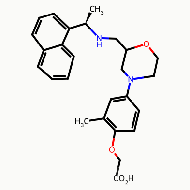 Cc1cc(N2CCOC(CN[C@H](C)c3cccc4ccccc34)C2)ccc1OCC(=O)O